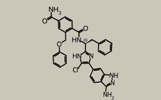 NC(=O)c1ccc(C(=O)N[C@@H](Cc2ccccc2)c2nc(-c3ccc4c(N)n[nH]c4c3)c(Cl)[nH]2)c(COc2ccccc2)c1